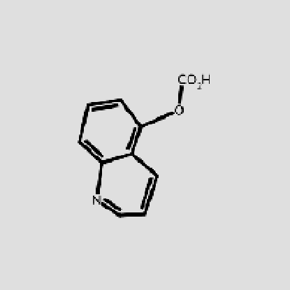 O=C(O)Oc1cccc2ncccc12